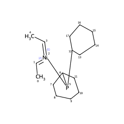 C/[CH]=[Ni](=[CH]/C)\[P](C1CCCCC1)C1CCCCC1